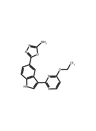 Nc1nnc(-c2ccc3[nH]cc(-c4nccc(OCC(F)(F)F)n4)c3c2)o1